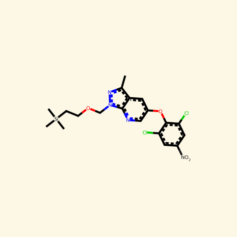 Cc1nn(COCC[Si](C)(C)C)c2ncc(Oc3c(Cl)cc([N+](=O)[O-])cc3Cl)cc12